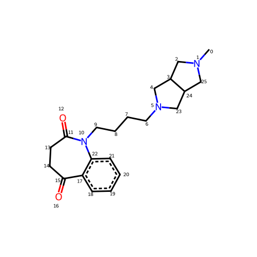 CN1CC2CN(CCCCN3C(=O)CCC(=O)c4ccccc43)CC2C1